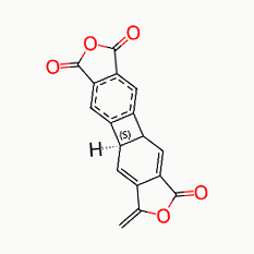 C=C1OC(=O)C2=CC3c4cc5c(cc4[C@@H]3C=C12)C(=O)OC5=O